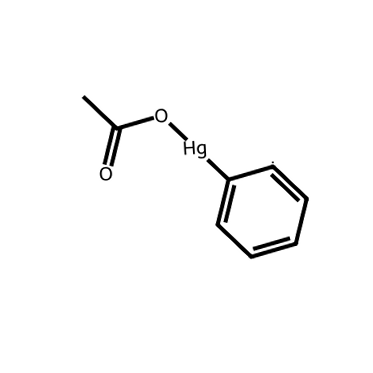 CC(=O)[O][Hg][c]1[c]cccc1